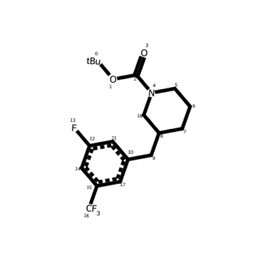 CC(C)(C)OC(=O)N1CCCC(Cc2cc(F)cc(C(F)(F)F)c2)C1